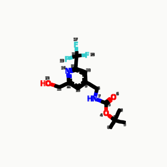 CC(C)(C)OC(=O)NCc1cc(CO)nc(C(F)(F)F)c1